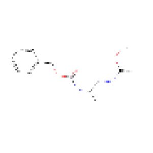 C=C(NC[C@@H](C)NC(=O)OCc1ccccc1)OC(C)(C)C